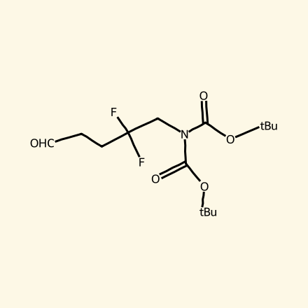 CC(C)(C)OC(=O)N(CC(F)(F)CCC=O)C(=O)OC(C)(C)C